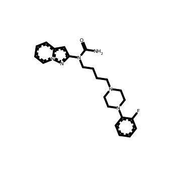 NC(=O)N(CCCCN1CCN(c2ccccc2F)CC1)c1cc2ccccn2n1